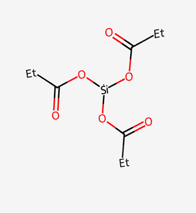 CCC(=O)O[Si](OC(=O)CC)OC(=O)CC